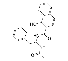 CC(=O)NC(Cc1ccccc1)NC(=O)c1ccc2ccccc2c1O